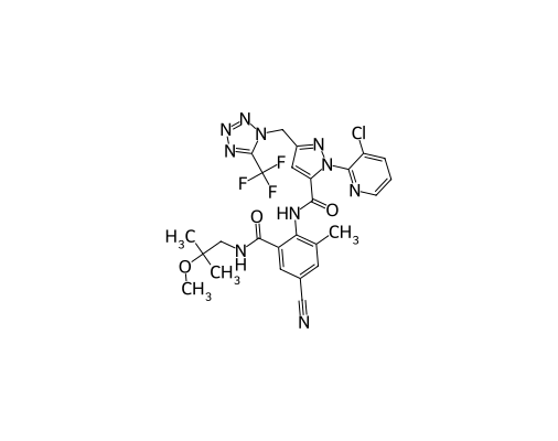 COC(C)(C)CNC(=O)c1cc(C#N)cc(C)c1NC(=O)c1cc(Cn2nnnc2C(F)(F)F)nn1-c1ncccc1Cl